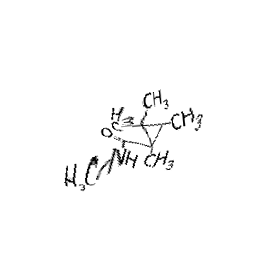 CNC(=O)C1(C)C(C)C1(C)C